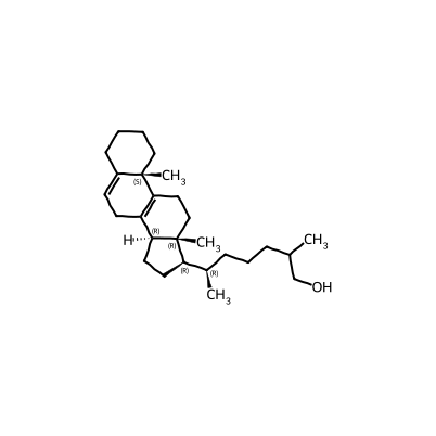 CC(CO)CCC[C@@H](C)[C@H]1CC[C@H]2C3=C(CC[C@]12C)[C@@]1(C)CCCCC1=CC3